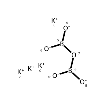 [K+].[K+].[K+].[K+].[O-]B([O-])OB([O-])[O-]